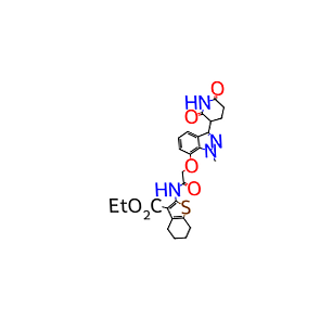 CCOC(=O)c1c(NC(=O)COc2cccc3c(C4CCC(=O)NC4=O)nn(C)c23)sc2c1CCCC2